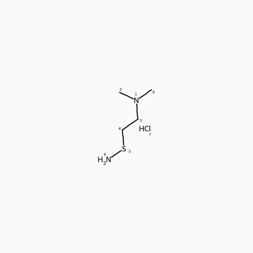 CN(C)CCSN.Cl